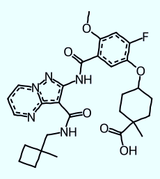 COc1cc(F)c(OC2CCC(C)(C(=O)O)CC2)cc1C(=O)Nc1nn2cccnc2c1C(=O)NCC1(C)CCC1